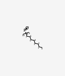 CCCCCCCCC(C)(C)P=O